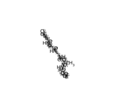 Cc1ccc(NC(=O)C2(c3ccc4c(c3)OC(F)(F)O4)CC2)nc1-c1cccc(C(=O)NCCCCNC(=O)CCc2ccc(NC(=O)C3CC4(C3)CN(C(=O)CCl)C4)s2)c1